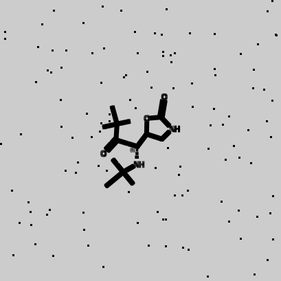 CC(C)(C)N[C@H](C(=O)C(C)(C)C)C1CNC(=O)O1